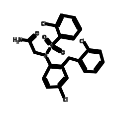 NC(=O)CN(c1ccc(Cl)cc1Cc1ccccc1Cl)S(=O)(=O)c1ccccc1Cl